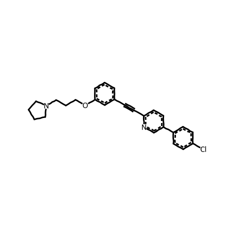 Clc1ccc(-c2ccc(C#Cc3cccc(OCCCN4CCCC4)c3)nc2)cc1